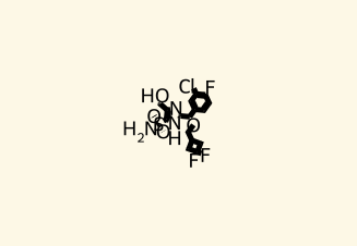 NS(=O)(=O)c1[nH]c(C(OCC2CC(F)(F)C2)c2ccc(F)c(Cl)c2)nc1CO